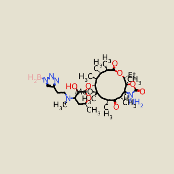 Bn1cc(CCN(C)C2C[C@@H](C)O[C@H](O[C@@H]3[C@@H](C)[C@H](C)[C@@H](C)C(=O)O[C@H](CC)[C@@]4(C)OC(=O)N(N)[C@@H]4[C@H](C)C(=O)[C@H](C)C[C@@]3(C)OC)C2O)nn1